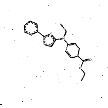 CCOC(=O)C1C=CC(N(CC)c2csc(-c3ccccc3)n2)=CC1